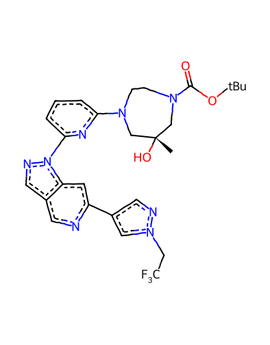 CC(C)(C)OC(=O)N1CCN(c2cccc(-n3ncc4cnc(-c5cnn(CC(F)(F)F)c5)cc43)n2)C[C@@](C)(O)C1